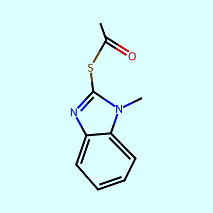 CC(=O)Sc1nc2ccccc2n1C